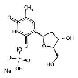 Cc1cn([C@H]2C[C@H](O)[C@@H](CO)O2)c(=O)[nH]c1=O.O=P([O-])(O)O.[Na+]